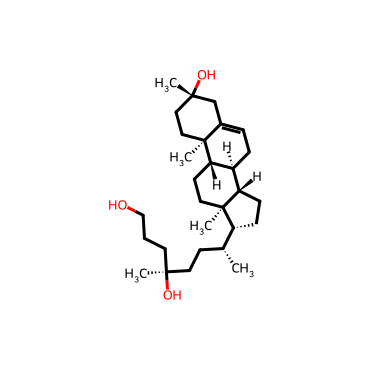 C[C@H](CC[C@@](C)(O)CCCO)[C@H]1CC[C@H]2[C@@H]3CC=C4C[C@@](C)(O)CC[C@]4(C)[C@H]3CC[C@]12C